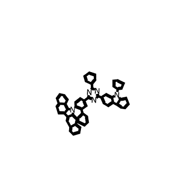 c1ccc(-c2nc(-c3ccc(-n4c5cc6ccccc6cc5c5ccc6ccccc6c54)c(-c4ccccc4)c3)nc(-c3ccc4c5ccccc5n(-c5ccccc5)c4c3)n2)cc1